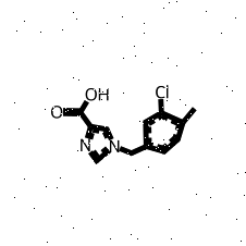 Cc1ccc(Cn2cnc(C(=O)O)c2)cc1Cl